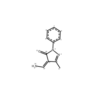 CC1=NN(c2ccccc2)C(=O)C1=CN